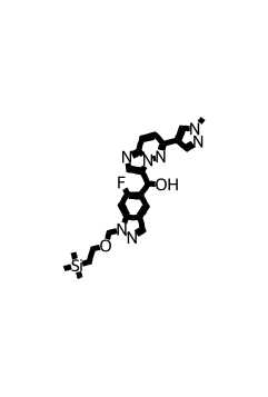 Cn1cc(-c2ccc3ncc(C(O)c4cc5cnn(COCC[Si](C)(C)C)c5cc4F)n3n2)cn1